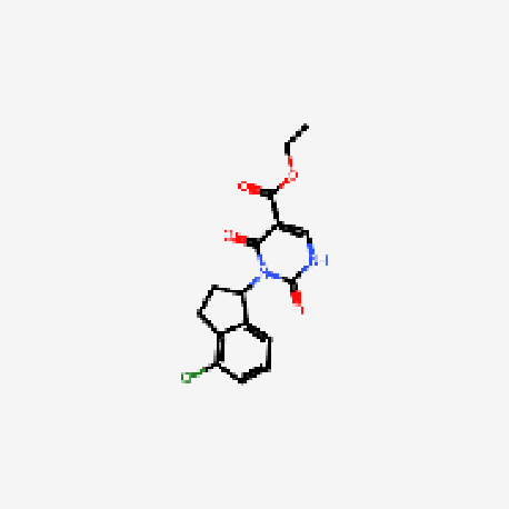 CCOC(=O)c1c[nH]c(=O)n(C2CCc3c(Cl)cccc32)c1=O